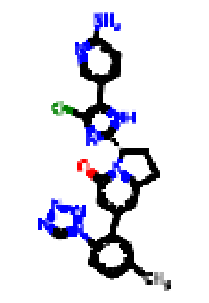 Cc1ccc(-n2cnnn2)c(-c2cc3n(c(=O)c2)[C@H](c2nc(Cl)c(-c4ccc(N)nc4)[nH]2)CC3)c1